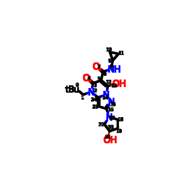 CC(C)(C)Cn1c(=O)c(C(=O)NC2CC2)c(O)n2nc(N3CC[C@H](O)C3)cc12